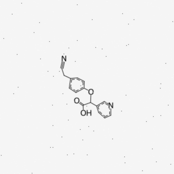 N#CCc1ccc(OC(C(=O)O)c2cccnc2)cc1